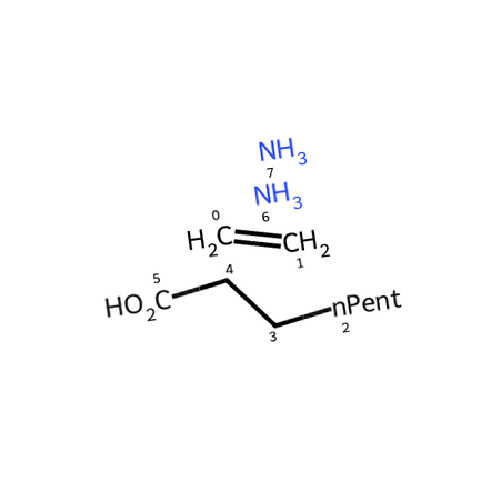 C=C.CCCCCCCC(=O)O.N.N